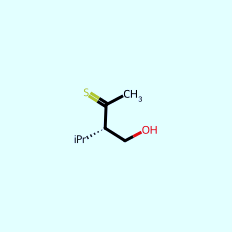 CC(=S)[C@H](CO)C(C)C